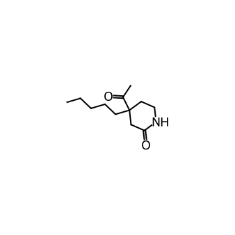 CCCCCC1(C(C)=O)CCNC(=O)C1